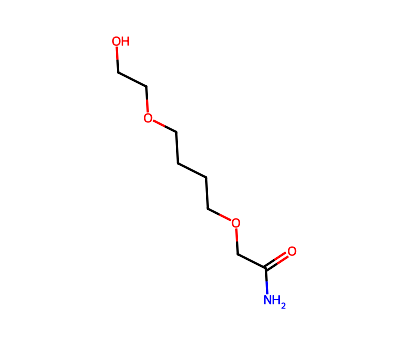 NC(=O)COCCCCOCCO